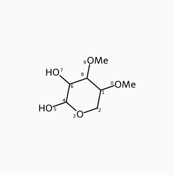 COC1COC(O)C(O)C1OC